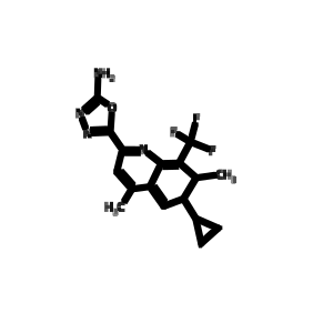 Cc1cc(-c2nnc(N)o2)nc2c1=CC(C1CC1)C(C)C=2C(F)(F)F